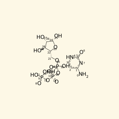 Nc1cc[nH]c(=O)n1.O=P(O)(O)OP(=O)(O)OP(=O)(O)OC[C@H]1O[C@@H](O)[C@@H](O)[C@@H]1O